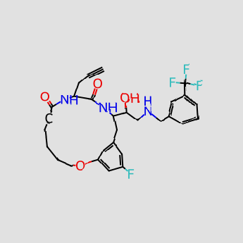 C#CCC1NC(=O)CCCCCOc2cc(F)cc(c2)CC(C(O)CNCc2cccc(C(F)(F)F)c2)NC1=O